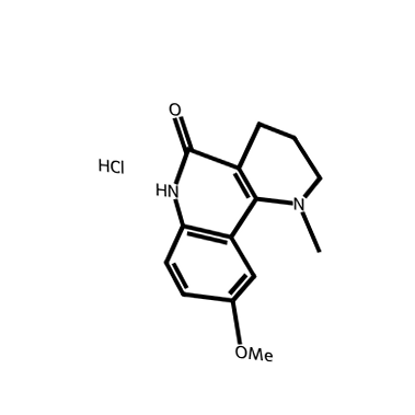 COc1ccc2[nH]c(=O)c3c(c2c1)N(C)CCC3.Cl